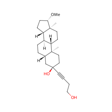 CO[C@H]1CC[C@H]2[C@@H]3CC[C@H]4C[C@@](O)(C#CCCO)CC[C@]4(C)[C@H]3CC[C@]12C